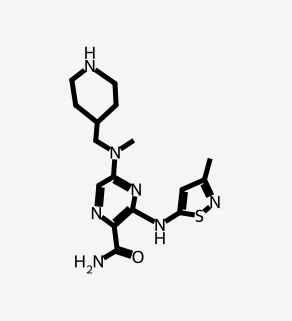 Cc1cc(Nc2nc(N(C)CC3CCNCC3)cnc2C(N)=O)sn1